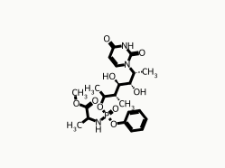 COC(=O)C(C)NP(=O)(Oc1ccccc1)OC(C)[C@@H](C)[C@@H](O)[C@@H](O)[C@@H](C)n1ccc(=O)[nH]c1=O